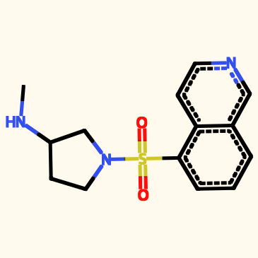 CNC1CCN(S(=O)(=O)c2cccc3cnccc23)C1